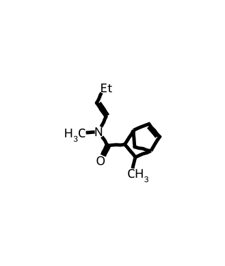 CC/C=C/N(C)C(=O)C1C2C=CC(C2)C1C